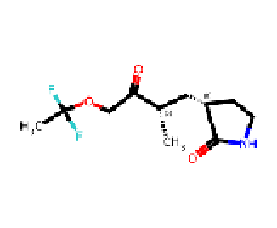 C[C@@H](C[C@@H]1CCNC1=O)C(=O)COC(C)(F)F